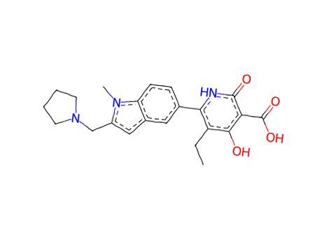 CCc1c(-c2ccc3c(c2)cc(CN2CCCC2)n3C)[nH]c(=O)c(C(=O)O)c1O